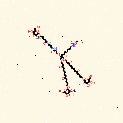 CCOC(=O)NCCCCCC(=O)CC(COCCC(=O)CCCCCC(=O)CCCCOC1OC(CO)C(O)C(O)C1C)(COCCC(=O)CCCCCC(=O)CCCCOC1OC(CO)C(O)C(O)C1C)COCCC(=O)NCCCNC(=O)CCCCOC1OC(CO)C(O)C(O)C1C